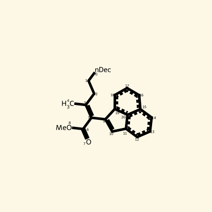 CCCCCCCCCCCCC(C)=C(C(=O)OC)C1=Cc2cccc3cccc1c23